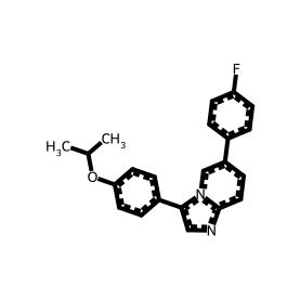 CC(C)Oc1ccc(-c2cnc3ccc(-c4ccc(F)cc4)cn23)cc1